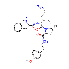 CNC(Cc1ccccc1)C(=O)NC1C(=O)N2[C@@H](CCC1CCN)CC[C@H]2C(=O)NCCc1ccc(OC)cc1